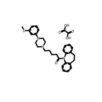 COc1cccc(N2CCN(CCCCC(=O)N3c4ccccc4CCc4ccccc43)CC2)c1.O=C(O)C(=O)O